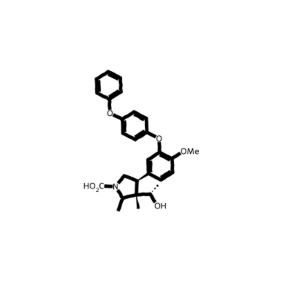 COc1ccc([C@@H]2CN(C(=O)O)C(C)[C@@]2(C)[C@H](C)O)cc1Oc1ccc(Oc2ccccc2)cc1